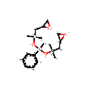 C[Si](C)(CC1CO1)O[Si](C)(O[Si](C)(C)CC1CO1)c1ccccc1